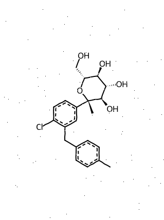 Cc1ccc(Cc2cc([C@]3(C)O[C@H](CO)[C@@H](O)[C@H](O)[C@H]3O)ccc2Cl)cc1